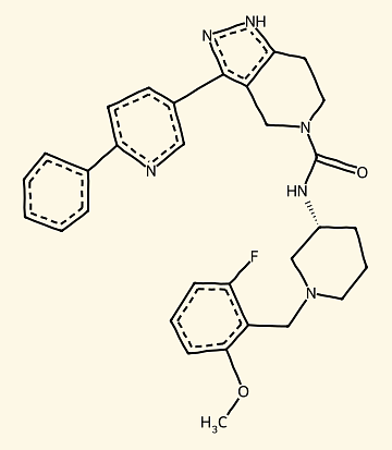 COc1cccc(F)c1CN1CCC[C@@H](NC(=O)N2CCc3[nH]nc(-c4ccc(-c5ccccc5)nc4)c3C2)C1